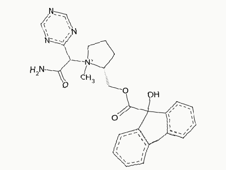 C[N+]1(C(C(N)=O)c2ncncn2)CCC[C@@H]1COC(=O)C1(O)c2ccccc2-c2ccccc21